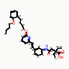 CCCCOc1ccccc1CCCCOc1cccc(C=Cc2cccc(NC(=O)CC(CC)(CC)C(=O)O)c2)n1